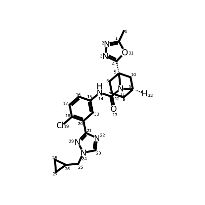 Cc1nnc([C@]23CCC[C@H](C2)N3C(=O)Nc2ccc(Cl)c(-c3ncn(CC4CC4)n3)c2)o1